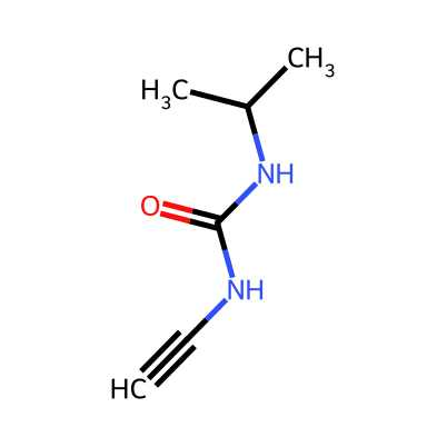 C#CNC(=O)NC(C)C